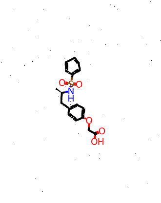 C[C@H](Cc1ccc(OCC(=O)O)cc1)NS(=O)(=O)c1ccccc1